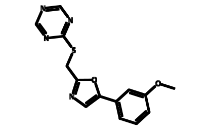 COc1cccc(-c2cnc(CSc3ncncn3)o2)c1